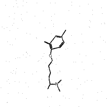 Cc1ccc(OCCCCC(C)N(C)C)c(C)c1